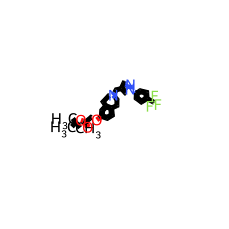 CC(C)(C)OC(=O)COc1ccc2c(c1)CCN(Cc1cnn(-c3ccc(C(F)(F)F)cc3)c1)CC2